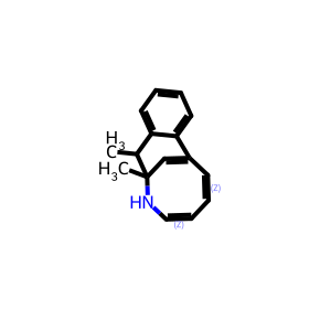 CC1c2ccccc2C2=CC1(C)N/C=C\C=C/2